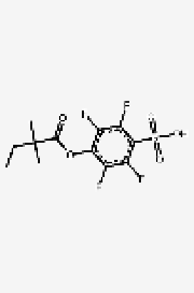 CCC(C)(C)C(=O)Oc1c(F)c(F)c(S(=O)(=O)O)c(F)c1F